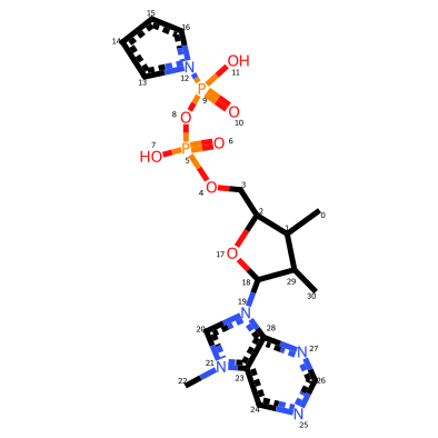 CC1C(COP(=O)(O)OP(=O)(O)n2cccc2)OC(n2c[n+](C)c3cncnc32)C1C